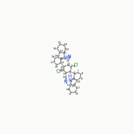 N#Cc1c(Cl)c(-c2cccc3c2[nH]c2ccccc23)c(C#N)c(Cl)c1-c1cccc2c1[nH]c1ccccc12